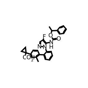 Cc1cc(C2(C(=O)O)CC2)ccc1-c1ccccc1-n1ncc(F)c1NC(=O)OC(C)c1ccccc1